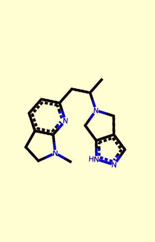 CC(Cc1ccc2c(n1)N(C)CC2)N1Cc2cn[nH]c2C1